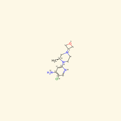 C[C@H]1CN(C2COC2)CCN1c1cc(N)c(Cl)cn1